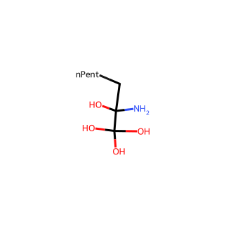 CCCCCCC(N)(O)C(O)(O)O